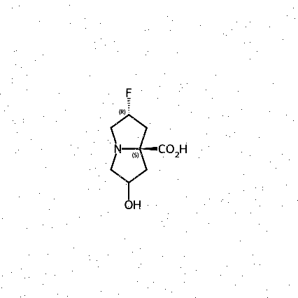 O=C(O)[C@@]12CC(O)CN1C[C@H](F)C2